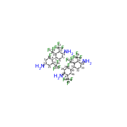 Nc1ccc(-c2ccc(N)c(C(F)(F)F)c2C(F)(F)F)c(C(F)(F)F)c1.Nc1ccc(-c2ccc(N)c(C(F)(F)F)c2C(F)(F)F)cc1C(F)(F)F